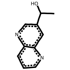 CC(O)c1cnc2cccnc2c1